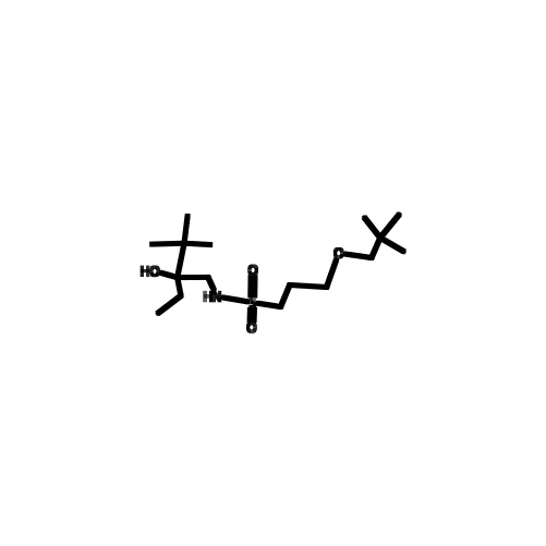 CCC(O)(CNS(=O)(=O)CCCOCC(C)(C)C)C(C)(C)C